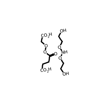 O=C(O)CCC(=O)OOCC(=O)O.OCCONOCCO